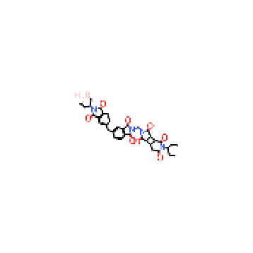 BCC(CC)N1C(=O)c2ccc(Cc3ccc4c(c3)C(=O)N(CN3C(=O)C5C6CC(=O)N(C(CC)CC)C(=O)C6C5C3=O)C4=O)cc2C1=O